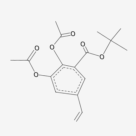 C=Cc1cc(OC(C)=O)c(OC(C)=O)c(C(=O)OC(C)(C)C)c1